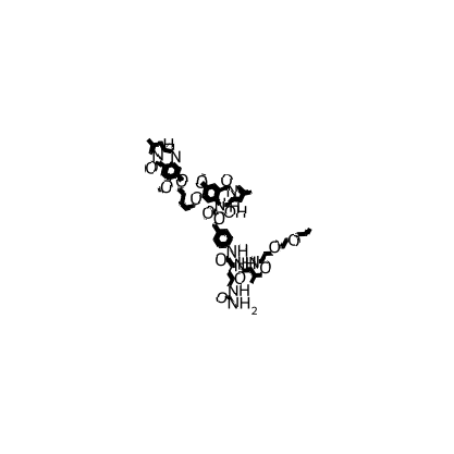 CCCOCCOCCC(=O)N[C@H](C(=O)N[C@@H](CCCNC(N)=O)C(=O)Nc1ccc(COC(=O)N2c3cc(OCCCCCOc4cc5c(cc4OC)C(=O)N4C=C(C)C[C@H]4C=N5)c(OC)cc3C(=O)N3C=C(C)C[C@H]3[C@@H]2O)cc1)C(C)C